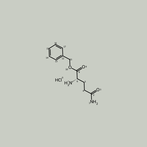 Cl.NC(=O)CC[C@H](N)C(=O)OCc1ccccc1